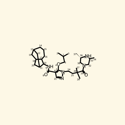 CC(C)COc1c(C(=O)NC2C3CC4CCCC2C(C4)C3)cnn1CCC(C)(C)C(=O)N1CC(C)N[C@@H](C)C1